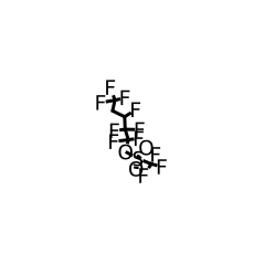 O=S(=O)(OC(F)(F)C(F)(F)C(F)CC(F)(F)F)C(F)(F)F